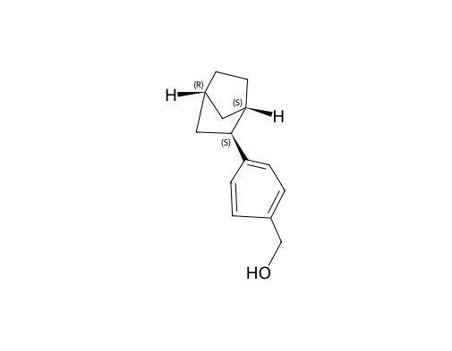 OCc1ccc([C@H]2C[C@@H]3CC[C@H]2C3)cc1